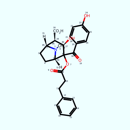 CN1[C@@H]2CC[C@H]1C(OC(=O)CCc1ccccc1)(C(=O)c1ccc(O)cc1)[C@H](O)[C@@H]2C(=O)O